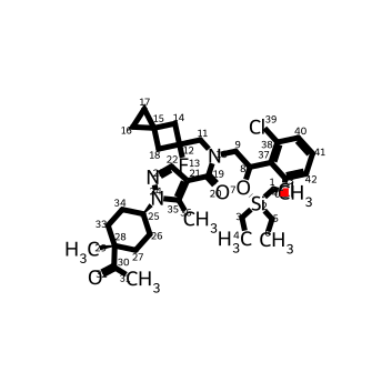 CC[Si](CC)(CC)OC(CN(CC1(F)CC2(CC2)C1)C(=O)c1cnn([C@H]2CC[C@](C)(C(C)=O)CC2)c1C)c1c(Cl)cccc1Cl